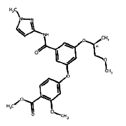 COC[C@H](C)Oc1cc(Oc2ccc(C(=O)OC)c(OC)c2)cc(C(=O)Nc2ccn(C)n2)c1